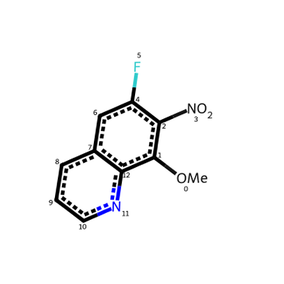 COc1c([N+](=O)[O-])c(F)cc2cccnc12